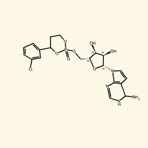 NC1NC=Nc2c1ccn2[C@@H]1O[C@H](COP2(=O)OCCC(c3cccc(Cl)c3)O2)[C@@H](O)[C@H]1O